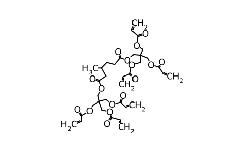 C=CC(=O)OCC(COC(=O)C=C)(COC(=O)C=C)COC(=O)CCC(C)CC(=O)OCC(COC(=O)C=C)(COC(=O)C=C)COC(=O)C=C